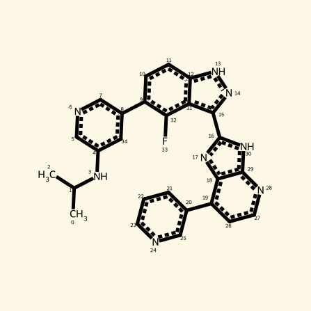 CC(C)Nc1cncc(-c2ccc3[nH]nc(-c4nc5c(-c6cccnc6)ccnc5[nH]4)c3c2F)c1